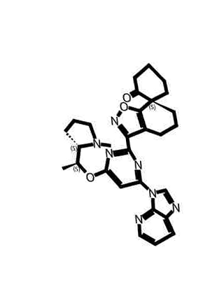 C[C@H](Oc1cc(-n2cnc3cccnc32)nc(-c2noc3c2CCC[C@@]32CCCCC2=O)n1)[C@@H]1CCCN1C